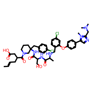 C/C=C/CC(CC(=O)O)C(=O)N1CCCC(Cc2ccc(Cl)cc2)(NC(=O)C(CO)NC(=O)C(C)NCc2ccc(Cl)cc2Oc2ccc(-c3cnc(CN(C)C)n3C)cc2)C1